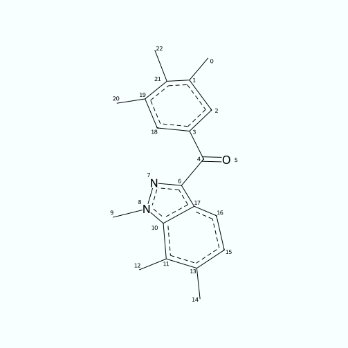 Cc1cc(C(=O)c2nn(C)c3c(C)c(C)ccc23)cc(C)c1C